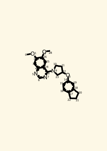 COc1cc2ncnc(N3CCC(Oc4ccc5c(c4)CCC5)C3)c2cc1OC